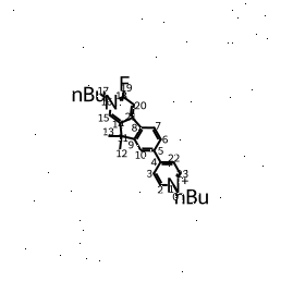 CCCC[n+]1ccc(-c2ccc3c(c2)C(C)(C)c2c[n+](CCCC)c(F)cc2-3)cc1